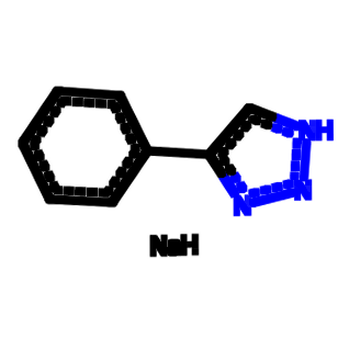 [NaH].c1ccc(-c2c[nH]nn2)cc1